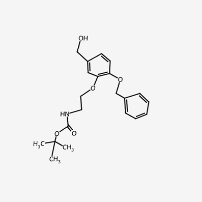 CC(C)(C)OC(=O)NCCOc1cc(CO)ccc1OCc1ccccc1